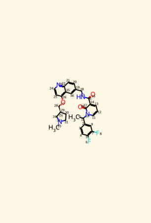 CC(c1ccc(F)c(F)c1)n1cccc(C(=O)NCc2ccc3nccc(OC[C@H]4CCN(C)C4)c3c2)c1=O